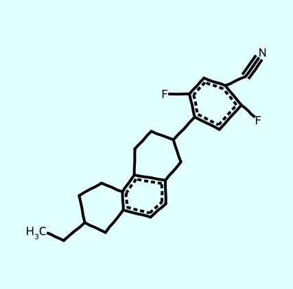 CCC1CCc2c(ccc3c2CCC(c2cc(F)c(C#N)cc2F)C3)C1